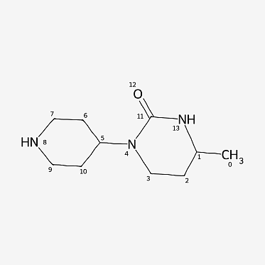 CC1CCN(C2CCNCC2)C(=O)N1